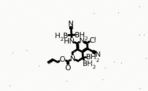 BC(B)(C#N)Nc1nc(Cl)c(C#N)c2c1CN(C(=O)OCC=C)CC2(B)B